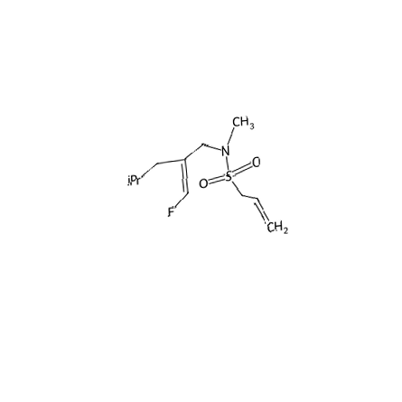 C=CCS(=O)(=O)N(C)CC(=CF)CC(C)C